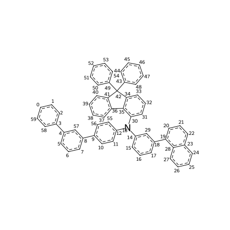 c1ccc(-c2cccc(-c3ccc(N(c4cccc(-c5cccc6ccccc56)c4)c4cccc5c4-c4ccccc4C5(c4ccccc4)c4ccccc4)cc3)c2)cc1